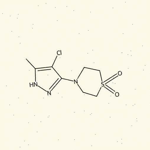 Cc1[nH]nc(N2CCS(=O)(=O)CC2)c1Cl